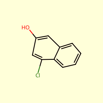 Oc1cc(Cl)c2ccccc2c1